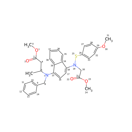 COC(=O)CC(C)N(Cc1ccccc1)c1ccc(N(CC(=O)OC)Sc2ccc(OC)cc2)c2ccccc12